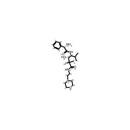 CC(C)[C@H](NC(=O)[C@@H](N)c1ccccc1)[C@@H](O)C(F)(F)C(=O)NCCN1CCOCC1